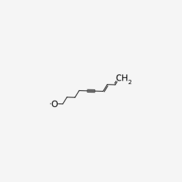 C=CC=CC#CCCCC[O]